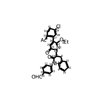 CCOc1nn(C(Cc2ccccc2)C(=O)Nc2ccc(C=O)cc2)c(=O)cc1-c1cc(Cl)ccc1C(C)=O